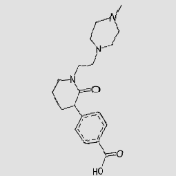 CN1CCN(CCN2CCCC(c3ccc(C(=O)O)cc3)C2=O)CC1